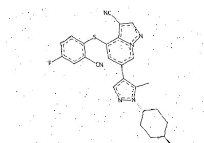 Cc1c(-c2cc(Sc3ccc(F)cc3C#N)c3c(C#N)cnn3c2)cnn1[C@H]1CC[C@H](O)CC1